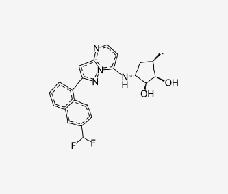 [CH2][C@@H]1C[C@@H](Nc2ccnc3cc(-c4cccc5cc(C(F)F)ccc45)nn23)[C@H](O)[C@@H]1O